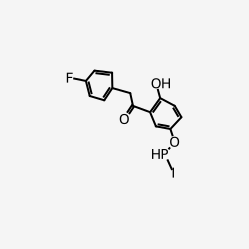 O=C(Cc1ccc(F)cc1)c1cc(OPI)ccc1O